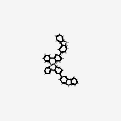 c1ccc2c(c1)-c1cc(-c3ccc4sc5ccccc5c4c3)ccc1B1c3ccc(-c4ccc5sc6ccccc6c5c4)cc3-c3ccccc3N12